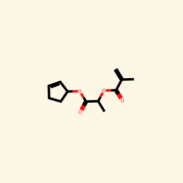 C=C(C)C(=O)OC(C)C(=O)OC1C=CCC1